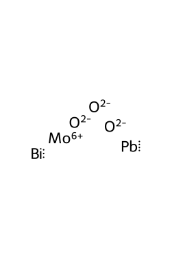 [Bi].[Mo+6].[O-2].[O-2].[O-2].[Pb]